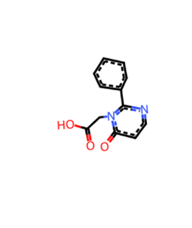 O=C(O)Cn1c(-c2ccccc2)nccc1=O